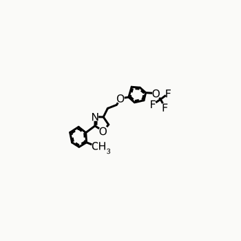 Cc1ccccc1C1=NC(CCOc2ccc(OC(F)(F)F)cc2)CO1